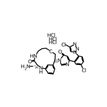 Cl.Cl.Cl.NC[C@H]1Nc2cccc(c2)[C@@H](n2cnc(-c3cc(Cl)ccc3-n3cc(Cl)nn3)cc2=O)CCCCCNC1=O